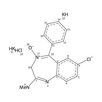 CNC1=Nc2ccc(Cl)cc2C(c2ccccc2)=[N+]([O-])C1.Cl.[KH].[KH]